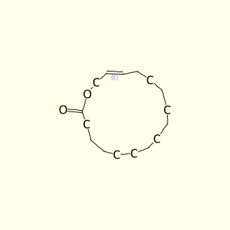 O=C1CCCCCCCCCCCC/C=C/CO1